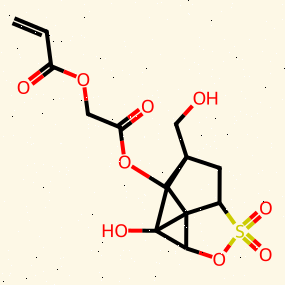 C=CC(=O)OCC(=O)OC1C2(CO)CC3C4(C2)C(OS3(=O)=O)C14O